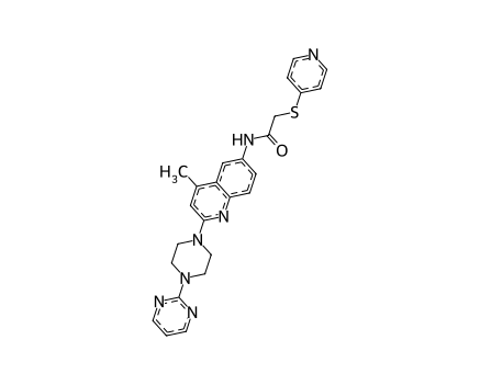 Cc1cc(N2CCN(c3ncccn3)CC2)nc2ccc(NC(=O)CSc3ccncc3)cc12